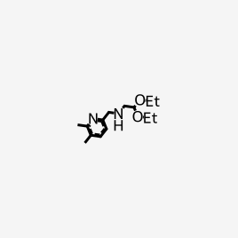 CCOC(CNCc1ccc(C)c(C)n1)OCC